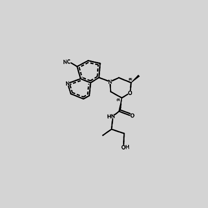 CC(CO)NC(=O)[C@H]1CN(c2ccc(C#N)c3ncccc23)C[C@@H](C)O1